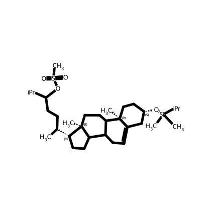 CC(C)C(CCC(C)[C@H]1CCC2C3CC=C4C[C@@H](O[Si](C)(C)C(C)C)CC[C@]4(C)C3CC[C@@]21C)OS(C)(=O)=O